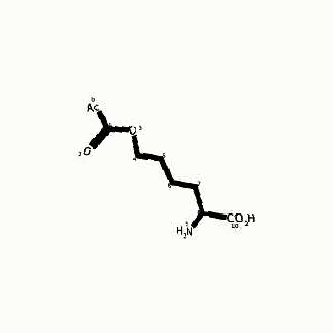 CC(=O)C(=O)OCCCCC(N)C(=O)O